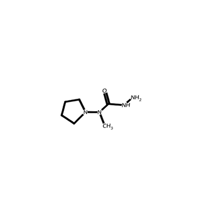 CN(C(=O)NN)N1CCCC1